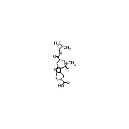 CN(C)/C=N/C(=O)C1CN(C)C(=O)c2c3c(nn2C1)CCN(C(=O)O)C3